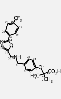 CC(C)(Oc1ccc(CNCc2nnc(-c3ccc(C(F)(F)F)cc3)o2)cc1)C(=O)O